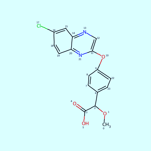 COC(C(=O)O)c1ccc(Oc2cnc3cc(Cl)ccc3n2)cc1